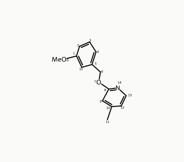 COc1cccc(COc2cc(C)ccn2)c1